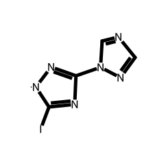 IC1=NC(n2cncn2)=N[N]1